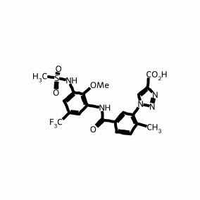 COc1c(NC(=O)c2ccc(C)c(-n3cc(C(=O)O)nn3)c2)cc(C(F)(F)F)cc1NS(C)(=O)=O